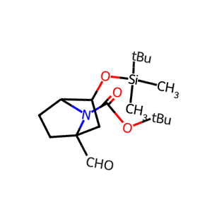 CC(C)(C)OC(=O)N1C2CCC1(C=O)CC2O[Si](C)(C)C(C)(C)C